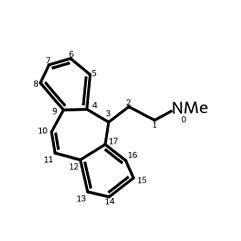 CNCCC1c2ccccc2C=Cc2ccccc21